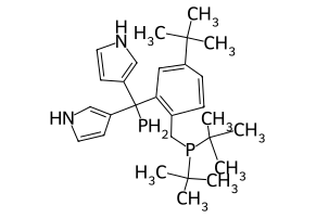 CC(C)(C)c1ccc(CP(C(C)(C)C)C(C)(C)C)c(C(P)(c2cc[nH]c2)c2cc[nH]c2)c1